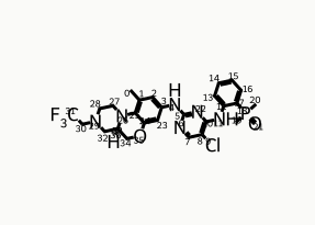 Cc1cc(Nc2ncc(Cl)c(Nc3ccccc3P(C)(C)=O)n2)cc2c1N1CCN(CC(F)(F)F)C[C@@H]1CO2